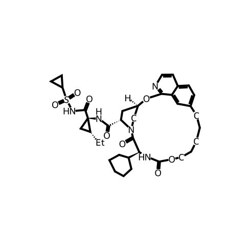 CC[C@@H]1C[C@]1(NC(=O)[C@@H]1C[C@@H]2CN1C(=O)[C@H](C1CCCCC1)NC(=O)OCCCCCc1ccc3ccnc(c3c1)O2)C(=O)NS(=O)(=O)C1CC1